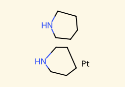 C1CCNCC1.C1CCNCC1.[Pt]